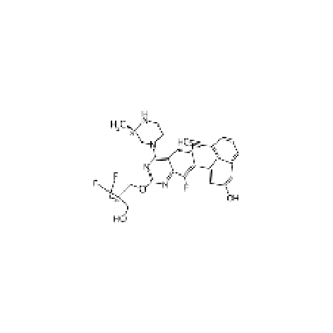 C#Cc1cccc2cc(O)cc(-c3c(F)cc4c(N5CCN[C@H](C)C5)nc(OC[C@]5(CO)CC5(F)F)nc4c3F)c12